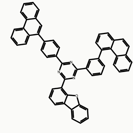 c1cc(-c2nc(-c3ccc(-c4cc5ccccc5c5ccccc45)cc3)nc(-c3cccc4c3oc3ccccc34)n2)cc(-c2cccc3ccc4ccccc4c23)c1